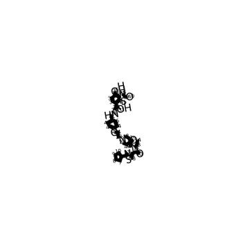 O=C(c1csc(C2CCCC2)n1)N1CCOC2(CCN(CCOc3ccc(CNC[C@H](O)c4ccc(O)c5[nH]c(=O)sc45)cc3)CC2)C1